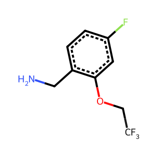 NCc1ccc(F)cc1OCC(F)(F)F